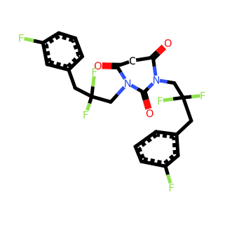 O=C1CC(=O)N(CC(F)(F)Cc2cccc(F)c2)C(=O)N1CC(F)(F)Cc1cccc(F)c1